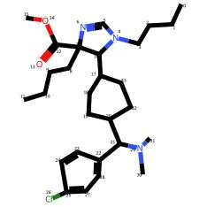 CCCCN1C=NC(CCCC)(C(=O)OC)C1C1CCC(C(c2ccc(Cl)cc2)N(C)C)CC1